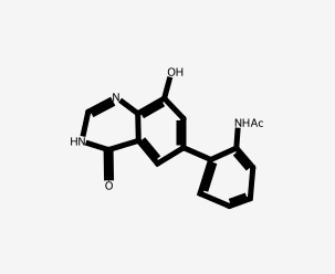 CC(=O)Nc1ccccc1-c1cc(O)c2nc[nH]c(=O)c2c1